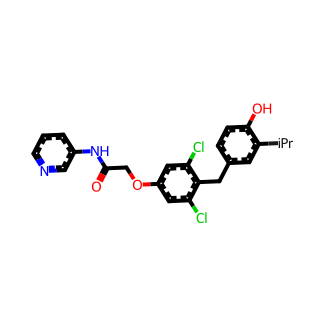 CC(C)c1cc(Cc2c(Cl)cc(OCC(=O)Nc3cccnc3)cc2Cl)ccc1O